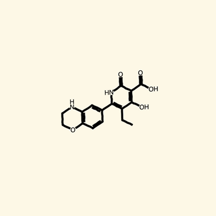 CCc1c(-c2ccc3c(c2)NCCO3)[nH]c(=O)c(C(=O)O)c1O